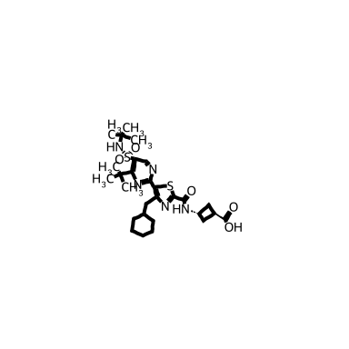 CC(C)(C)NS(=O)(=O)c1cnc(-c2sc(C(=O)N[C@H]3C[C@H](C(=O)O)C3)nc2CC2CCCCC2)nc1C(C)(C)C